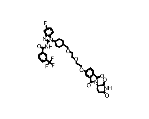 O=C1CCC(N2C(=O)c3ccc(OCCOCCOCC4CCC(n5c(NC(=O)c6cccc(C(F)(F)F)c6)nc6cc(F)ccc65)CC4)cc3C2=O)C(=O)N1